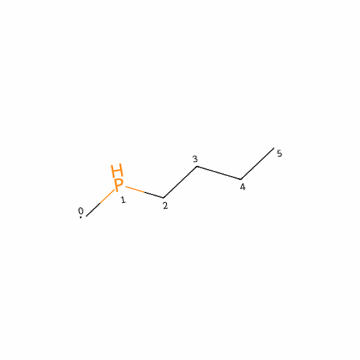 [CH2]PCCCC